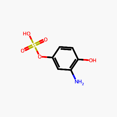 Nc1cc(OS(=O)(=O)O)ccc1O